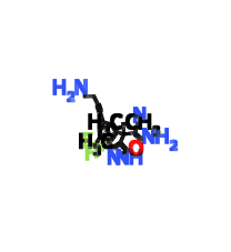 Cc1n[nH]c2c1C(c1cc(C#CCCN)cc(C(F)(F)F)c1)(C(C)C)C(C#N)=C(N)O2